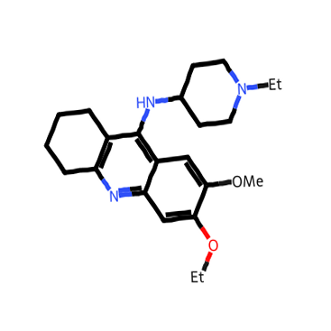 CCOc1cc2nc3c(c(NC4CCN(CC)CC4)c2cc1OC)CCCC3